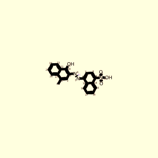 Cc1cc(/N=N/c2ccc(S(=O)(=O)O)c3ccccc23)c(O)c2ccccc12